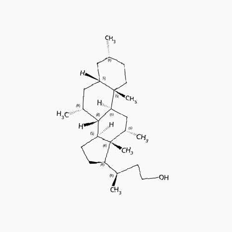 C[C@@H]1CC[C@@]2(C)[C@@H](C1)C[C@@H](C)[C@@H]1[C@@H]2C[C@H](C)[C@]2(C)[C@@H]([C@H](C)CCO)CC[C@@H]12